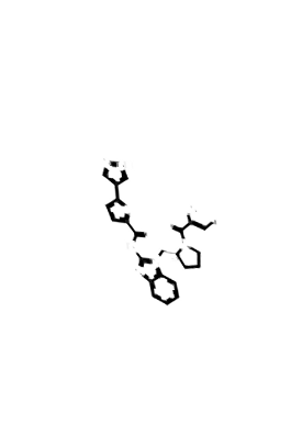 CC(C)C=C(C#N)C(=O)N1CCC[C@H]1Cn1c(NC(=O)c2ccc(-c3cn[nH]c3)s2)nc2ccccc21